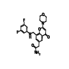 NC(=O)Cc1cc(CNc2cc(F)cc(F)c2)c2oc(N3CCOCC3)cc(=O)c2c1